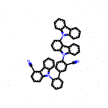 N#Cc1cc(-c2ccccc2-n2c3ccccc3c3c(C#N)cccc32)ccc1-n1c2ccccc2c2c(-n3c4ccccc4c4ccccc43)cccc21